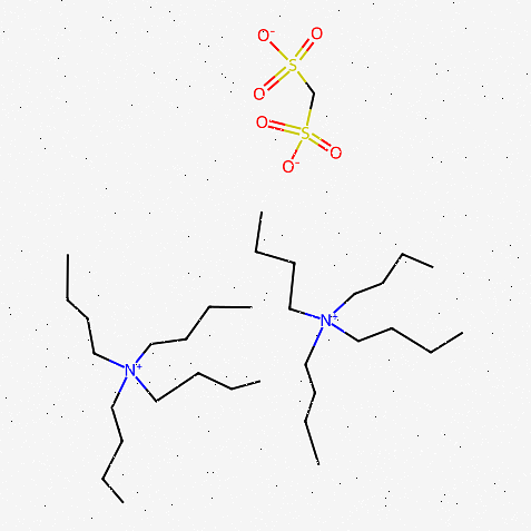 CCCC[N+](CCCC)(CCCC)CCCC.CCCC[N+](CCCC)(CCCC)CCCC.O=S(=O)([O-])CS(=O)(=O)[O-]